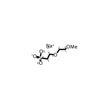 COCCOCCS(=O)(=O)[O-].[Na+]